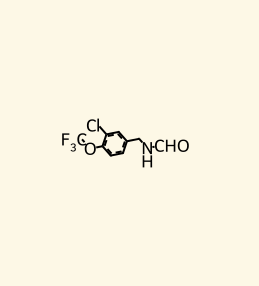 O=CNCc1ccc(OC(F)(F)F)c(Cl)c1